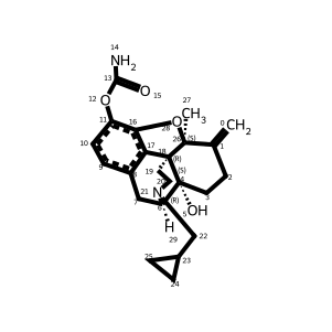 C=C1CC[C@@]2(O)[C@H]3Cc4ccc(OC(N)=O)c5c4[C@@]2(CCN3CC2CC2)[C@@]1(C)O5